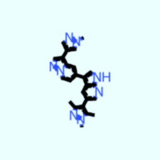 Cc1nn(C)c(C)c1-c1cnc2[nH]cc(-c3ccn4ncc(-c5cnn(C)c5)c4c3)c2c1